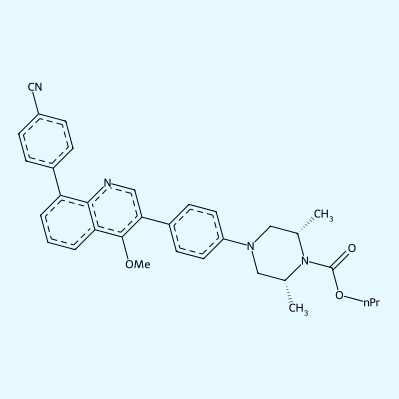 CCCOC(=O)N1[C@H](C)CN(c2ccc(-c3cnc4c(-c5ccc(C#N)cc5)cccc4c3OC)cc2)C[C@@H]1C